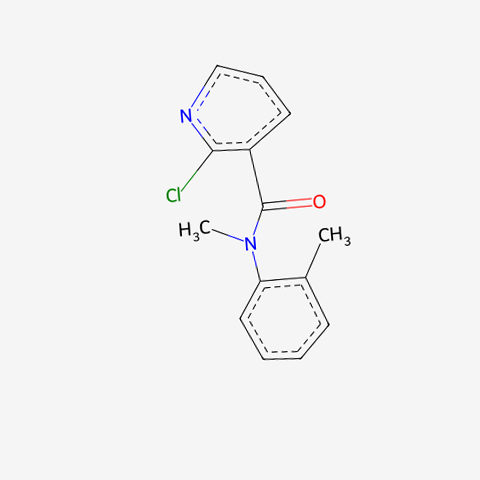 Cc1ccccc1N(C)C(=O)c1cccnc1Cl